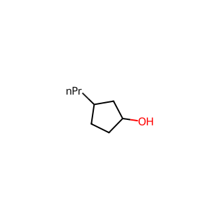 [CH2]CCC1CCC(O)C1